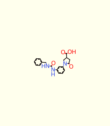 O=C(NCc1ccccc1)Nc1cccc(N2CC(C(=O)O)CC2=O)c1